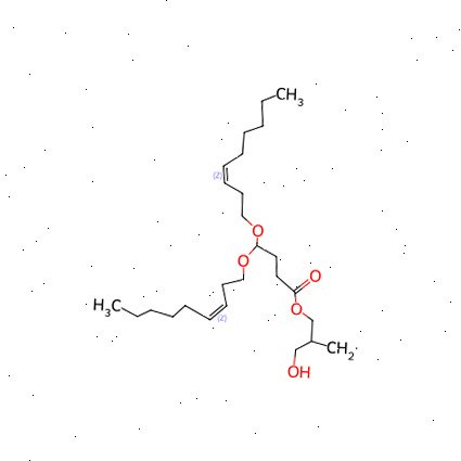 [CH2]C(CO)COC(=O)CCC(OCC/C=C\CCCCC)OCC/C=C\CCCCC